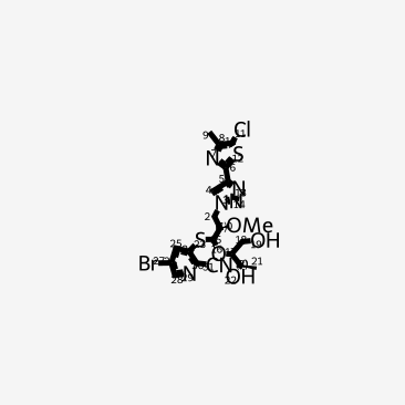 CO[C@@H](Cn1cc(-c2nc(C)c(Cl)s2)nn1)C(OC(CO)[C@@H](C)O)Sc1cc(Br)cnc1C#N